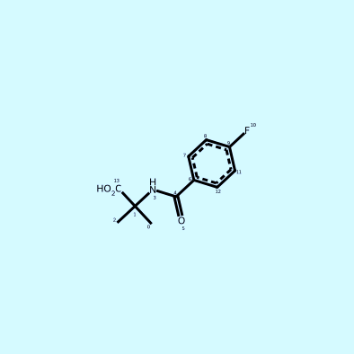 CC(C)(NC(=O)c1ccc(F)cc1)C(=O)O